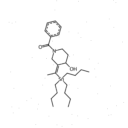 CCC[CH2][Sn]([CH2]CCC)([CH2]CCC)[C](C)=C1CN(C(=O)c2ccccc2)CCC1O